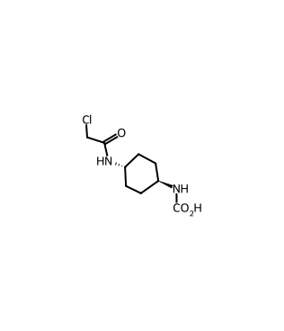 O=C(O)N[C@H]1CC[C@H](NC(=O)CCl)CC1